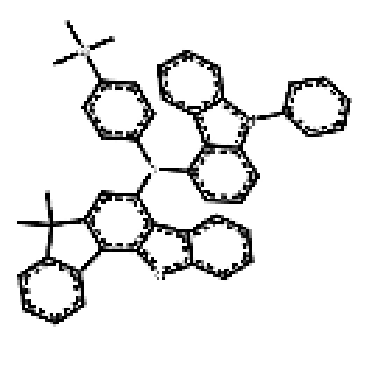 CC1(C)c2ccccc2-c2c1cc(N(c1ccc([Si](C)(C)C)cc1)c1cccc3c1c1ccccc1n3-c1ccccc1)c1c2oc2ccccc21